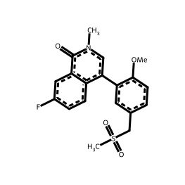 COc1ccc(CS(C)(=O)=O)cc1-c1cn(C)c(=O)c2cc(F)ccc12